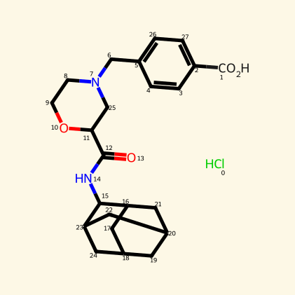 Cl.O=C(O)c1ccc(CN2CCOC(C(=O)NC3C4CC5CC(C4)CC3C5)C2)cc1